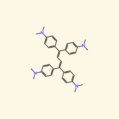 CN(C)c1ccc(C(=CC=C(c2ccc(N(C)C)cc2)c2ccc(N(C)C)cc2)c2ccc(N(C)C)cc2)cc1